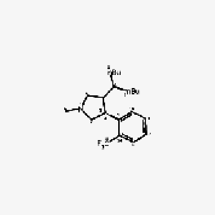 CCCCC(CCCC)C1CN(C)C[C@@H]1c1ccccc1C(F)(F)F